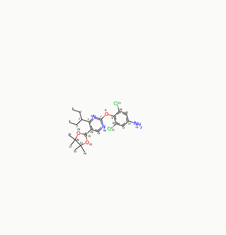 CCC(CC)c1nc(Oc2c(Cl)cc(N)cc2Cl)ncc1B1OC(C)(C)C(C)(C)O1